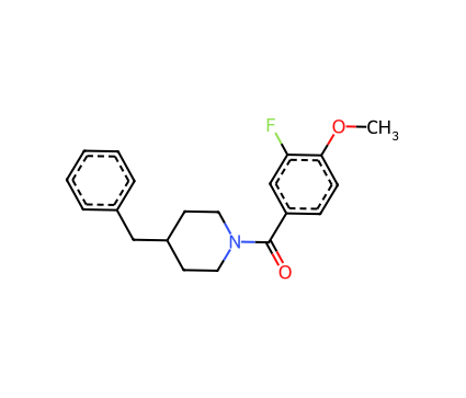 COc1ccc(C(=O)N2CCC(Cc3ccccc3)CC2)cc1F